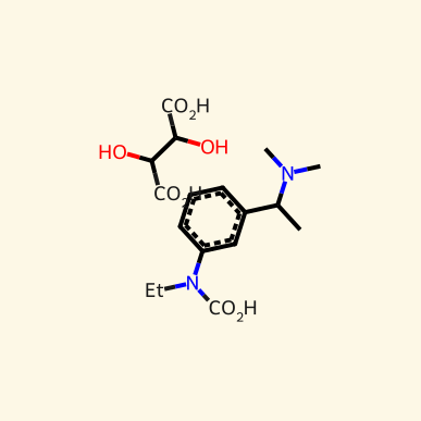 CCN(C(=O)O)c1cccc(C(C)N(C)C)c1.O=C(O)C(O)C(O)C(=O)O